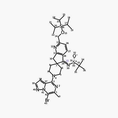 Cc1nc(N2CCC3(CC2)Cc2nc(CO[Si](C(C)C)(C(C)C)C(C)C)ccc2/C3=N\[S@+]([O-])C(C)(C)C)c2ccnn2c1Br